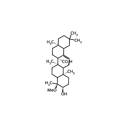 CO[C@@]1(C)C2CC[C@]3(C)C(CC=C4C5CC(C)(C)CC[C@]5(C)CC[C@@]43C(=O)O)[C@@]2(C)CC[C@H]1O